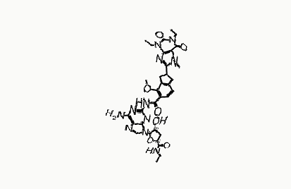 CCNC(=O)[C@@H]1C[C@@H](O)[C@H](n2cnc3c(N)nc(NC(=O)c4ccc5c(c4OC)CC(c4nc6c(c(=O)n(CC)c(=O)n6CC)n4C)C5)nc32)O1